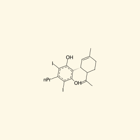 C=C(C)C1CCC(C)=C[C@H]1c1c(O)c(I)c(CCC)c(I)c1O